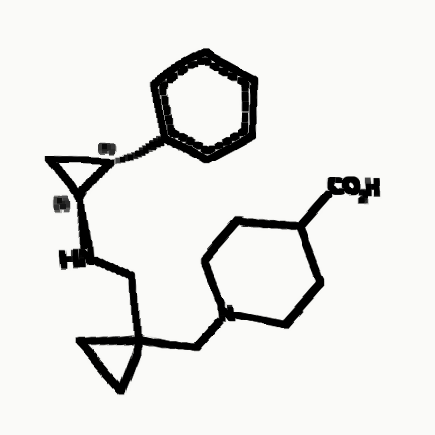 O=C(O)C1CCN(CC2(CN[C@H]3C[C@@H]3c3ccccc3)CC2)CC1